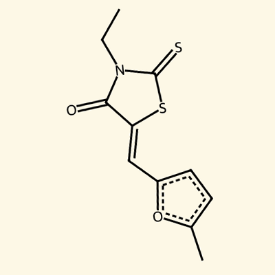 CCN1C(=O)C(=Cc2ccc(C)o2)SC1=S